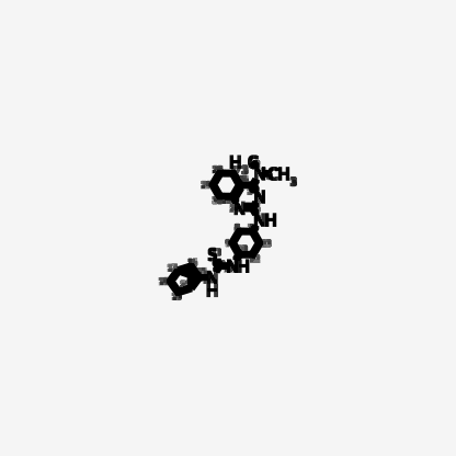 CN(C)c1nc(NC2CCC(NC(=S)NC3CC4CCC3C4)CC2)nc2c1CCCC2